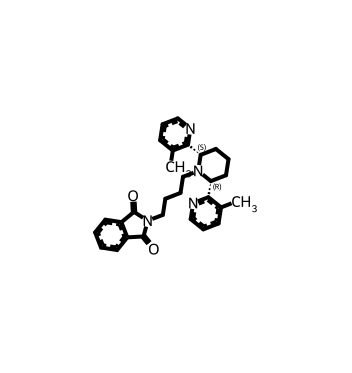 Cc1cccnc1[C@H]1CCC[C@@H](c2ncccc2C)N1CCCCN1C(=O)c2ccccc2C1=O